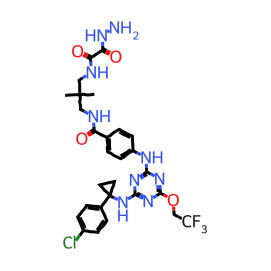 CC(C)(CNC(=O)C(=O)NN)CNC(=O)c1ccc(Nc2nc(NC3(c4ccc(Cl)cc4)CC3)nc(OCC(F)(F)F)n2)cc1